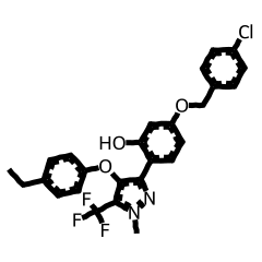 CCc1ccc(Oc2c(-c3ccc(OCc4ccc(Cl)cc4)cc3O)nn(C)c2C(F)(F)F)cc1